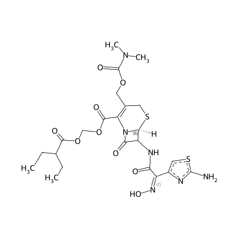 CCC(CC)C(=O)OCOC(=O)C1=C(COC(=O)N(C)C)CS[C@H]2C(NC(=O)/C(=N\O)c3csc(N)n3)C(=O)N12